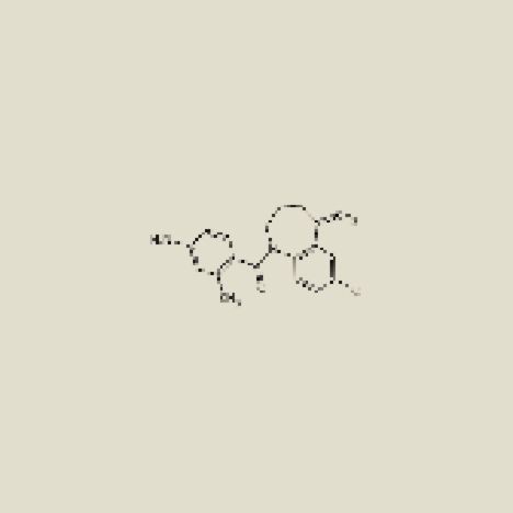 C=C1CCCN(C(=O)c2ccc(N)cc2C)c2ccc(Cl)cc21